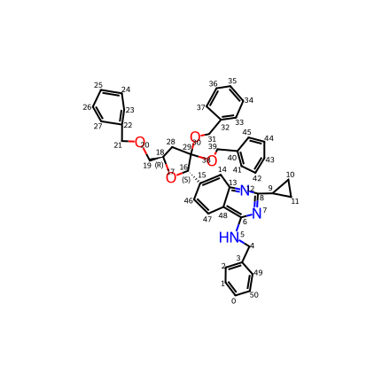 c1ccc(CNc2nc(C3CC3)nc3cc([C@@H]4O[C@@H](COCc5ccccc5)CC4(OCc4ccccc4)OCc4ccccc4)ccc23)cc1